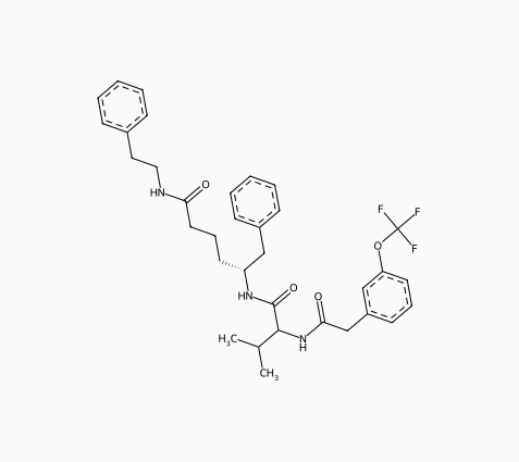 CC(C)C(NC(=O)Cc1cccc(OC(F)(F)F)c1)C(=O)N[C@H](CCCC(=O)NCCc1ccccc1)Cc1ccccc1